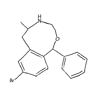 CC1Cc2cc(Br)ccc2C(c2ccccc2)OCN1